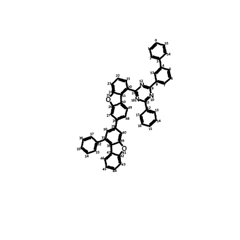 c1ccc(-c2cccc(-c3nc(-c4ccccc4)nc(-c4cccc5oc6cc(-c7cc(-c8ccccc8)c8c(c7)oc7ccccc78)ccc6c45)n3)c2)cc1